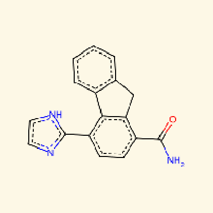 NC(=O)c1ccc(-c2ncc[nH]2)c2c1[CH]c1ccccc1-2